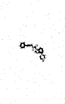 CN1CCN(c2cccc3c2ncn3C(=O)NCC#Cc2ccccc2)CC1